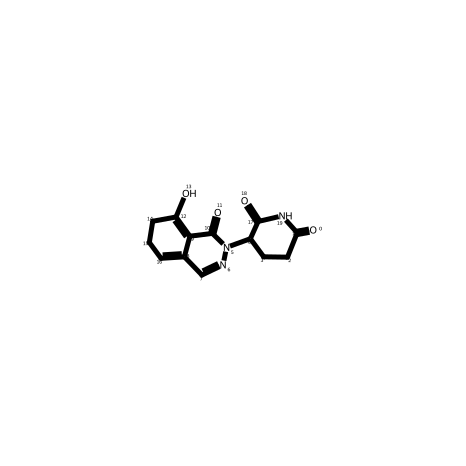 O=C1CCC(n2ncc3c(c2=O)=C(O)CCC=3)C(=O)N1